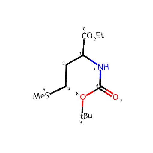 CCOC(=O)C(CCSC)NC(=O)OC(C)(C)C